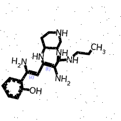 CCCNC(=N)/C(N)=C(/C=C(\N)c1ccccc1O)NC1CCNCC1